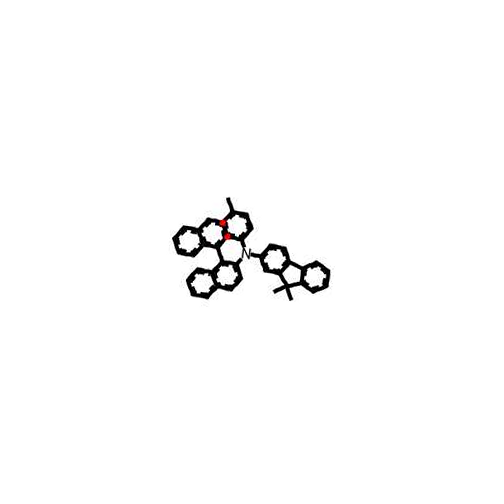 Cc1ccc(N(c2ccc3c(c2)C(C)(C)c2ccccc2-3)c2ccc3ccccc3c2-c2cccc3ccccc23)cc1